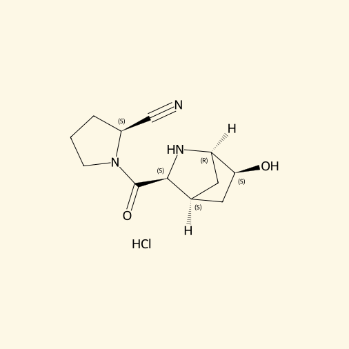 Cl.N#C[C@@H]1CCCN1C(=O)[C@H]1N[C@@H]2C[C@H]1C[C@@H]2O